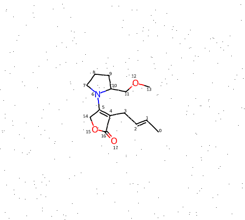 C/C=C/CC1=C(N2CCCC2COC)COC1=O